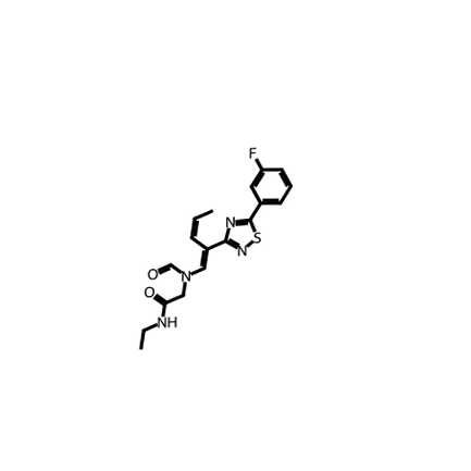 C/C=C\C(=C/N(C=O)CC(=O)NCC)c1nsc(-c2cccc(F)c2)n1